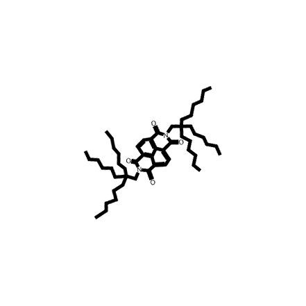 CCCCCCC(CCCCCC)(CCCCCC)CN1C(=O)c2ccc3c4c(ccc(c24)C1=O)C(=O)N(CC(CCCCCC)(CCCCCC)CCCCCC)C3=O